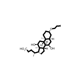 C[C@H](CCC(=O)O)[C@H]1CC[C@H]2[C@@H]3[C@H](O)C[C@@H]4C[C@@H](OCCI)CC[C@]4(C)[C@H]3C[C@H](O)[C@]12C